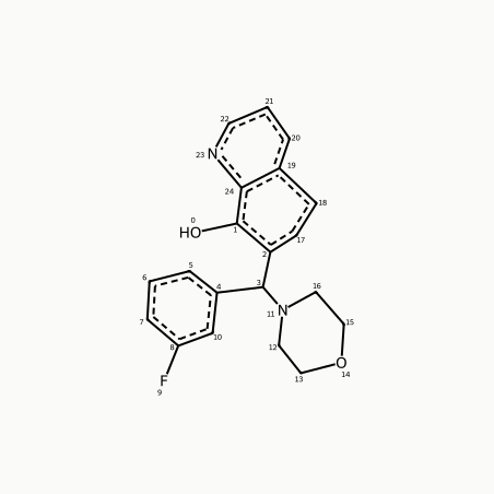 Oc1c(C(c2cccc(F)c2)N2CCOCC2)ccc2cccnc12